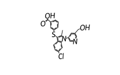 Cc1c(Sc2cccc(C(=O)O)c2)c2ccc(Cl)cc2n1-c1cncc(CO)c1